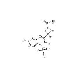 CN(C(=O)C1(F)CN(C(=O)O)C1)[C@@H](c1ccc(Br)cc1)C(F)(F)F